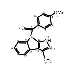 COc1ccc(C(=O)n2c3ccccc3c3c(C)n[nH]c32)cc1